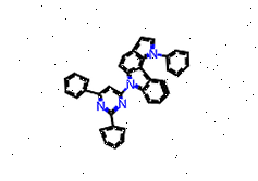 c1ccc2c(c#1)c1c3c(ccc1n2-c1cc(-c2ccccc2)nc(-c2ccccc2)n1)ccn3-c1ccccc1